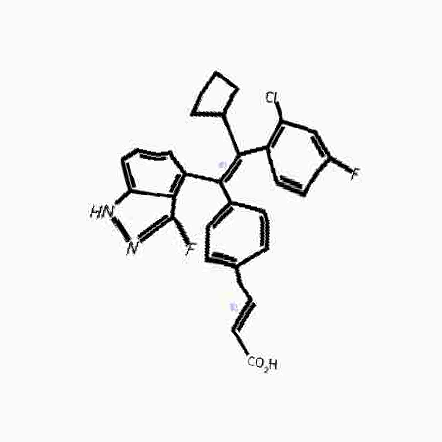 O=C(O)/C=C/c1ccc(/C(=C(\c2ccc(F)cc2Cl)C2CCC2)c2cccc3[nH]nc(F)c23)cc1